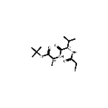 CC(C)[C@H](NC(=O)CI)C(=O)N[C@@H](C)C(=O)OC(C)(C)C